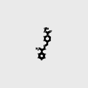 CC(C)(C)OC(=O)N1CCC(COCC(N)c2ccccc2)CC1